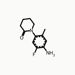 Cc1cc(N)c(F)cc1N1CCCCC1=O